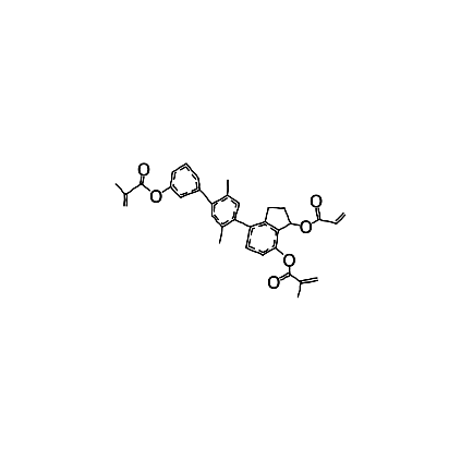 C=CC(=O)OC1CCc2c(-c3cc(C)c(-c4cccc(OC(=O)C(=C)C)c4)cc3C)ccc(OC(=O)C(=C)C)c21